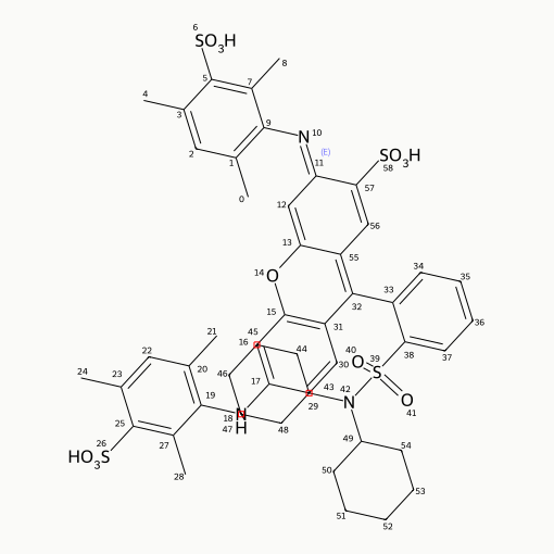 Cc1cc(C)c(S(=O)(=O)O)c(C)c1/N=c1\cc2oc3cc(Nc4c(C)cc(C)c(S(=O)(=O)O)c4C)ccc3c(-c3ccccc3S(=O)(=O)N(C3CCCCC3)C3CCCCC3)c-2cc1S(=O)(=O)O